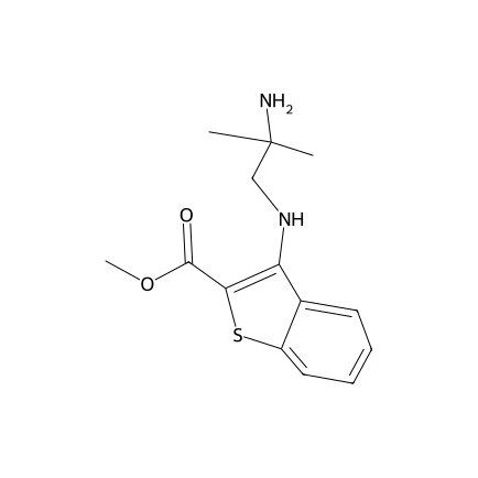 COC(=O)c1sc2ccccc2c1NCC(C)(C)N